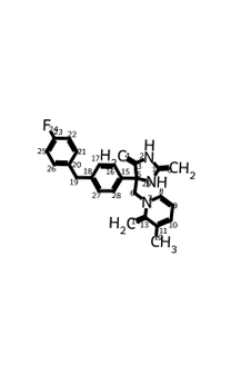 C=C1NC(=C)C(CN2C=CC=C(C)C2=C)(c2ccc(Cc3ccc(F)cc3)cc2)N1